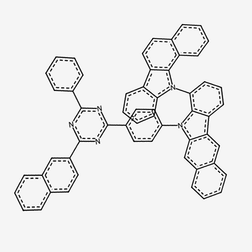 c1ccc(-c2nc(-c3ccc(-n4c5cc6ccccc6cc5c5cccc(-n6c7ccccc7c7ccc8ccccc8c76)c54)cc3)nc(-c3ccc4ccccc4c3)n2)cc1